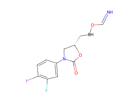 N=COBC[C@H]1CN(c2ccc(I)c(F)c2)C(=O)O1